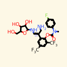 CN(C(=O)Oc1c(/C(=C/NC2OC(CO)C(O)C2O)CN)cc(C(F)(F)F)cc1C(F)(F)F)c1ccc(F)cc1